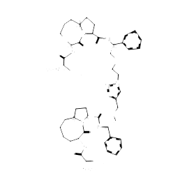 CN[C@@H](C)C(=O)N[C@H]1CCCC[C@H]2CCC(C(=O)N[C@H](COCCn3cc(COC[C@@H](NC(=O)[C@@H]4CC[C@@H]5CCCC[C@H](NC(=O)[C@H](C)NC)C(=O)N54)c4ccccc4)nn3)c3ccccc3)N2C1=O